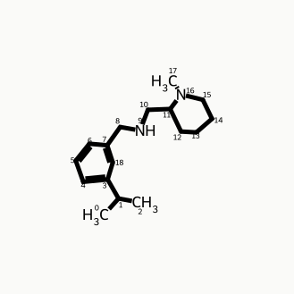 CC(C)c1cccc(CNCC2CCCCN2C)c1